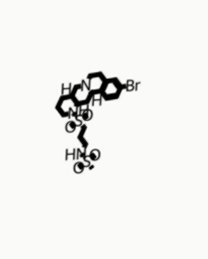 CS(=O)(=O)NCCCS(=O)(=O)N1CCC[C@@H]2CN3CCc4cc(Br)ccc4[C@@H]3C[C@@H]21